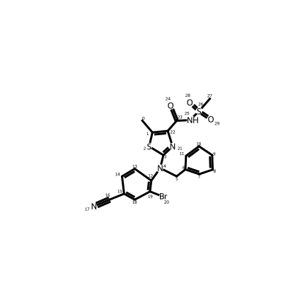 Cc1sc(N(Cc2ccccc2)c2ccc(C#N)cc2Br)nc1C(=O)NS(C)(=O)=O